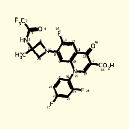 CC1(NC(=O)C(F)(F)F)CN(c2cc3c(cc2F)c(=O)c(C(=O)O)cn3-c2ccc(F)cc2F)C1